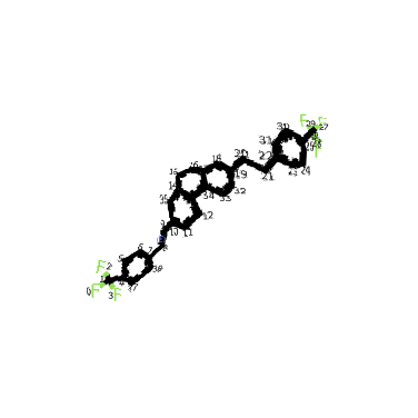 FC(F)(F)c1ccc(/C=C/c2ccc3c(ccc4cc(CCc5ccc(C(F)(F)F)cc5)ccc43)c2)cc1